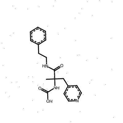 CC(Cc1ccncc1)(NC(=O)O)C(=O)NCCc1ccccc1